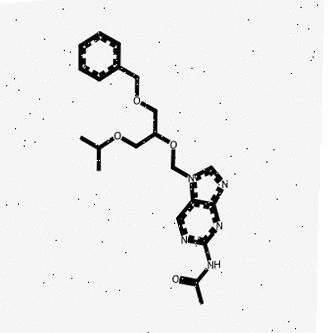 CC(=O)Nc1ncc2c(ncn2COC(COCc2ccccc2)COC(C)C)n1